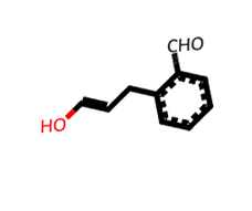 O=Cc1ccccc1CC=CO